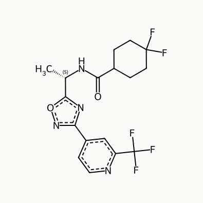 C[C@H](NC(=O)C1CCC(F)(F)CC1)c1nc(-c2ccnc(C(F)(F)F)c2)no1